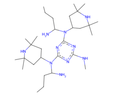 CCCC(N)N(c1nc(NC)nc(N(C(N)CCC)C2CC(C)(C)NC(C)(C)C2)n1)C1CC(C)(C)NC(C)(C)C1